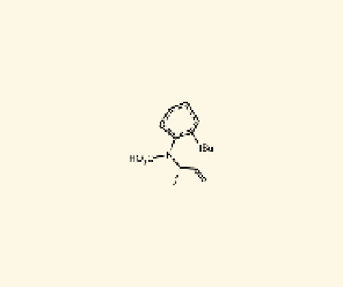 C=C[C@H](C)N(C(=O)O)c1ccccc1C(C)(C)C